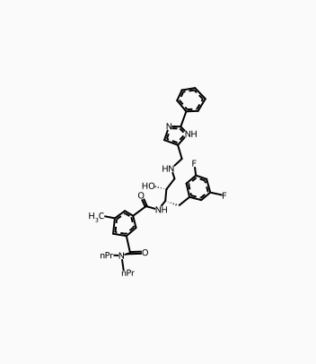 CCCN(CCC)C(=O)c1cc(C)cc(C(=O)N[C@@H](Cc2cc(F)cc(F)c2)[C@H](O)CNCc2cnc(-c3ccccc3)[nH]2)c1